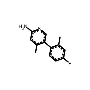 Cc1cc(F)ccc1-c1cnc(N)cc1C